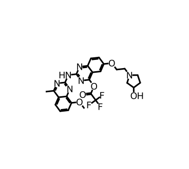 COc1cccc2c(C)nc(Nc3nc(OC(=O)C(F)(F)F)c4cc(OCCN5CCC(O)C5)ccc4n3)nc12